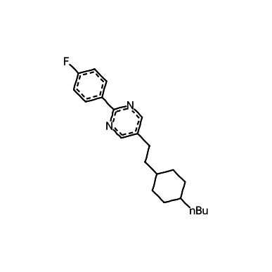 CCCCC1CCC(CCc2cnc(-c3ccc(F)cc3)nc2)CC1